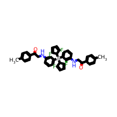 Cc1ccc(C(=O)CNc2ccc(F)[c]([Ti]([c]3c(F)ccc(NCC(=O)c4ccc(C)cc4)c3F)([CH]3C=CC=C3)[CH]3C=CC=C3)c2F)cc1